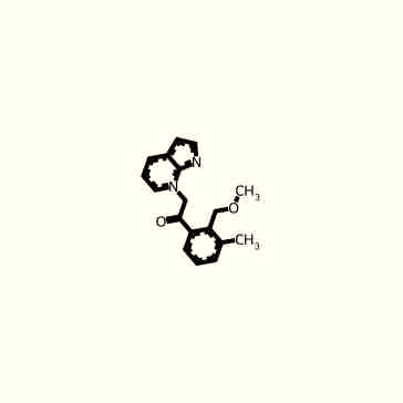 COCc1c(C)cccc1C(=O)Cn1cccc2ccnc1-2